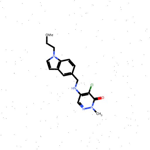 COCCn1ccc2cc(CNc3cnn(C)c(=O)c3Cl)ccc21